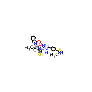 Cc1ncsc1-c1ccc(CNC(=N)[C@@H]2C[C@@H](S)CN2C(=O)[C@H](C(C)C)N2Cc3ccccc3C2=O)cc1